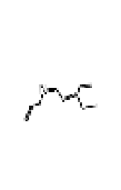 C=CC/N=C\C=C(/C=C)CC